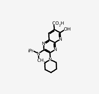 CC(C)N(C)c1nc2cc(C(=O)O)c(O)nc2nc1N1CCCCC1